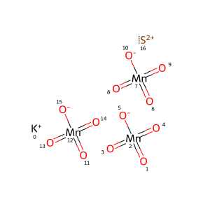 [K+].[O]=[Mn](=[O])(=[O])[O-].[O]=[Mn](=[O])(=[O])[O-].[O]=[Mn](=[O])(=[O])[O-].[S+2]